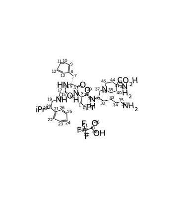 CC(C)C[C@@H](NC(=O)[C@@H](Cc1ccccc1)NC(=O)CNC[C@@H](c1ccccc1)C(C)C)C(=O)N[C@H](CCCCN)CN1CCC(N)(C(=O)O)CC1.O=C(O)C(F)(F)F